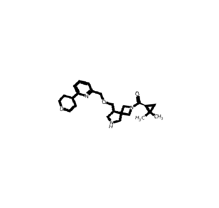 CC1(C)C[C@@H]1C(=O)N1CC2(CNCC2COCc2cccc(C3CCOCC3)n2)C1